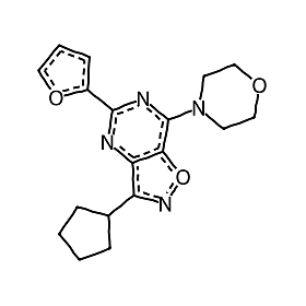 c1coc(-c2nc(N3CCOCC3)c3onc(C4CCCC4)c3n2)c1